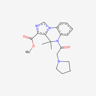 CC(C)(C)OC(=O)c1ncn2c1C(C)(C)N(C(=O)CN1CCCC1)c1ccccc1-2